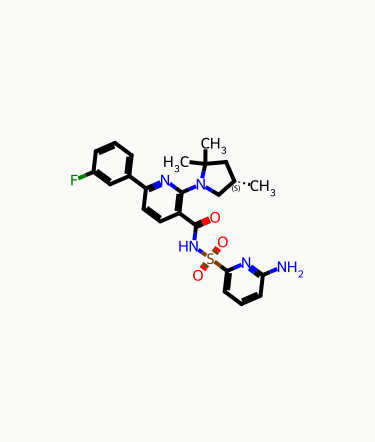 C[C@@H]1CN(c2nc(-c3cccc(F)c3)ccc2C(=O)NS(=O)(=O)c2cccc(N)n2)C(C)(C)C1